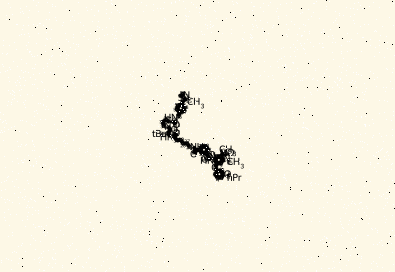 CCCOc1cccc(Oc2cc3c(cc2NS(=O)(=O)c2cccc(C(=O)NCCCCCC(=O)NC(C(=O)N4CCC[C@H]4C(=O)NCc4ccc(-c5scnc5C)cc4)C(C)(C)C)c2)n(C)c(=O)n3C)c1